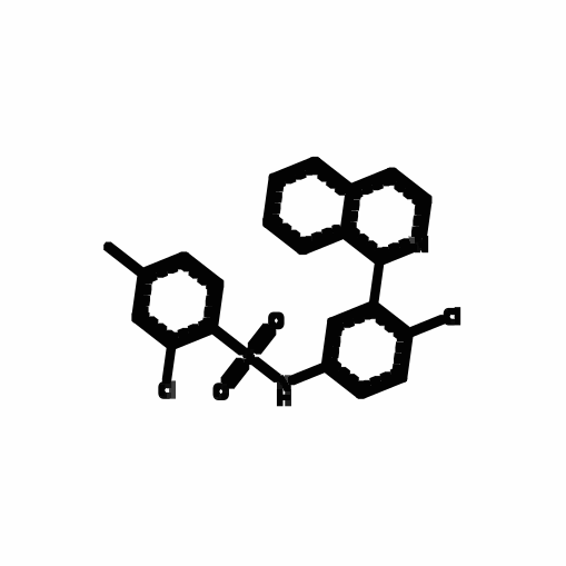 Cc1ccc(S(=O)(=O)Nc2ccc(Cl)c(-c3nccc4ccccc34)c2)c(Cl)c1